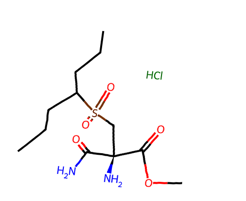 CCCC(CCC)S(=O)(=O)C[C@@](N)(C(N)=O)C(=O)OC.Cl